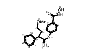 C=C(Nc1ccc(C(=O)NO)cc1)C(CCOC)c1ccccc1